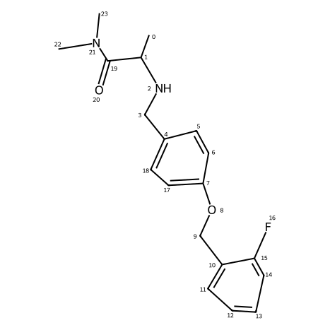 CC(NCc1ccc(OCc2ccccc2F)cc1)C(=O)N(C)C